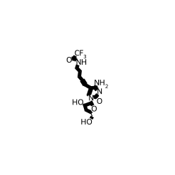 Nc1nc(=O)n([C@@H]2O[C@H](CO)C[C@H]2O)cc1C#CCCCNC(=O)C(F)(F)F